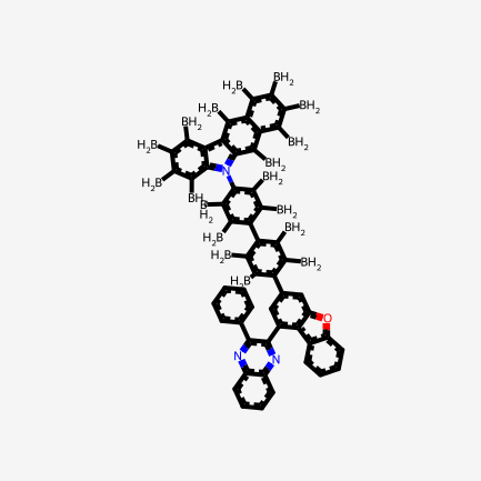 Bc1c(B)c(-c2c(B)c(B)c(-n3c4c(B)c(B)c(B)c(B)c4c4c(B)c5c(B)c(B)c(B)c(B)c5c(B)c43)c(B)c2B)c(B)c(B)c1-c1cc(-c2nc3ccccc3nc2-c2ccccc2)c2c(c1)oc1ccccc12